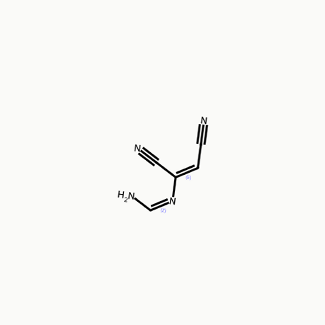 N#C/C=C(C#N)/N=C\N